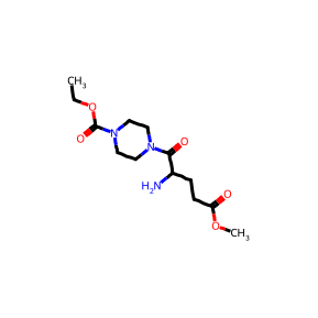 CCOC(=O)N1CCN(C(=O)C(N)CCC(=O)OC)CC1